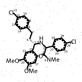 CNC(=O)C(N[C@@H](CCc1ccc(Cl)cc1)c1ccc(OC)c(OC)c1)c1ccc(Cl)cc1